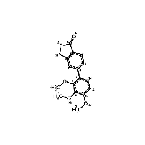 [CH2]Oc1c(-c2ccc3c(c2)COC3=O)ccc(OC)c1OC